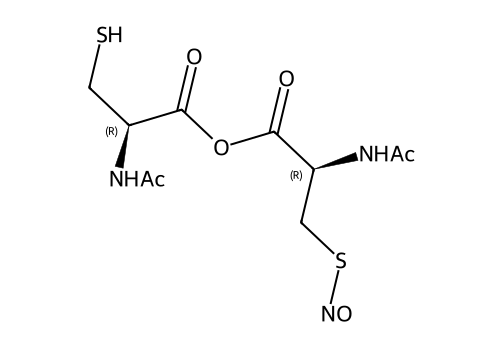 CC(=O)N[C@@H](CS)C(=O)OC(=O)[C@H](CSN=O)NC(C)=O